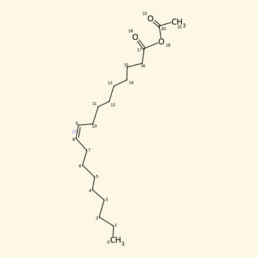 CCCCCCCC/C=C\CCCCCCCC(=O)OC(C)=O